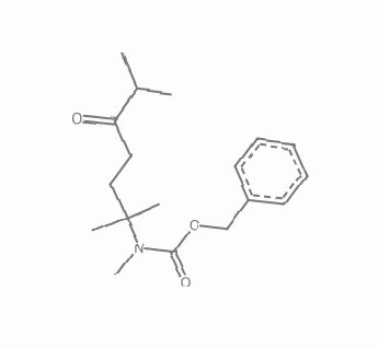 CC(C)C(=O)CCC(C)(C)N(C)C(=O)OCc1ccccc1